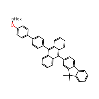 CCCCCCOc1ccc(-c2ccc(-c3c4ccccc4c(-c4ccc5c(c4)C(C)(C)c4ccccc4-5)c4ccccc34)cc2)cc1